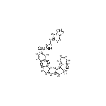 CC1CCCN(CCCNC(=O)c2ccc(OC3CCN(Cc4ccc5oc6ccccc6c5c4)CC3)c(Cl)c2)C1